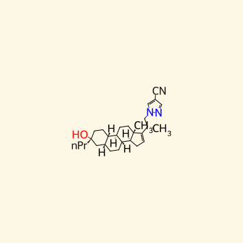 CCC[C@@]1(O)CC[C@H]2[C@H](CC[C@@H]3[C@@H]2CC[C@]2(C)C([C@@H](C)Cn4cc(C#N)cn4)=CC[C@@H]32)C1